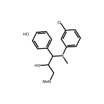 CNCC(O)C(c1ccccc1)N(C)c1cccc(Cl)c1.Cl